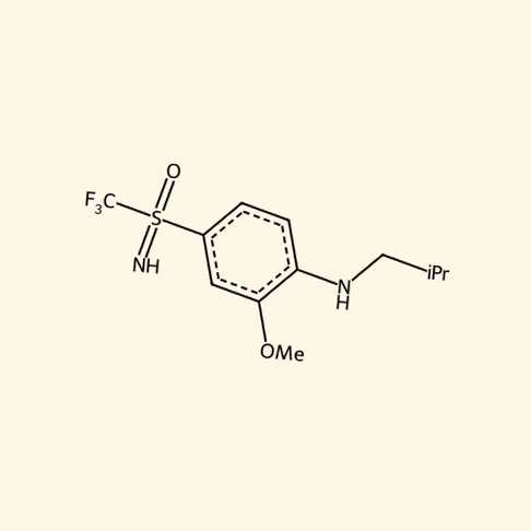 COc1cc(S(=N)(=O)C(F)(F)F)ccc1NCC(C)C